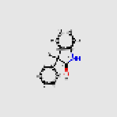 CC1(c2ccccc2)C(=O)Nc2ccccc21